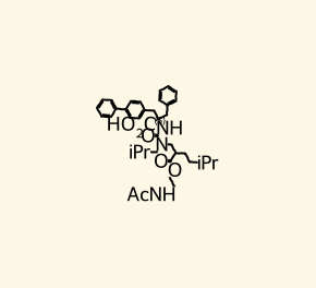 CC(=O)NCCOC(=O)C(CCC(C)C)CN(CC(C)C)C(=O)N[C@@](Cc1ccccc1)(Cc1ccc(-c2ccccc2)cc1)C(=O)O